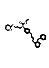 CCOC(=O)N(CCCOC1CCCCO1)c1ccc(CC=CCc2ccccc2Cc2ccccc2)cc1